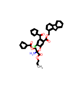 C=CCOC(=O)C(N)(COC(=O)c1ccccc1)Oc1cc(C(=O)OCc2cccc3c2Cc2ccccc2-3)c(C(=O)c2ccccc2)cc1Cl